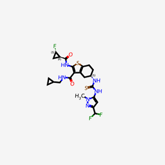 Cn1nc(C(F)F)cc1NC(=S)N[C@H]1CCc2sc(NC(=O)[C@H]3C[C@@H]3F)c(C(=O)NCC3CC3)c2C1